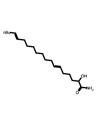 CCCCC=CCCCCCCCC=CCCCC(O)C(N)=O